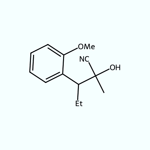 CCC(c1ccccc1OC)C(C)(O)C#N